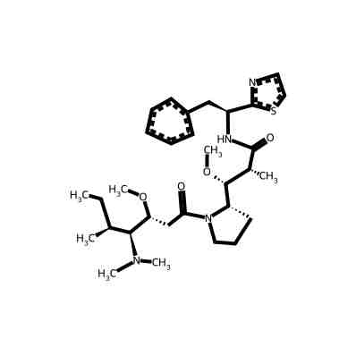 CC[C@H](C)[C@@H]([C@@H](CC(=O)N1CCC[C@H]1[C@H](OC)[C@@H](C)C(=O)N[C@@H](Cc1ccccc1)c1nccs1)OC)N(C)C